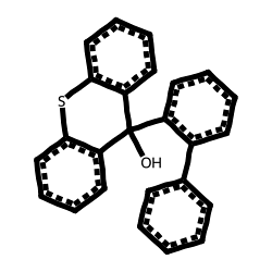 OC1(c2ccccc2-c2ccccc2)c2ccccc2Sc2ccccc21